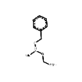 COCO[SiH](OCc1ccccc1)C(C)(C)C